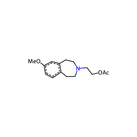 COc1ccc2c(c1)CCN(CCOC(C)=O)CC2